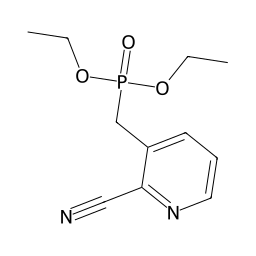 CCOP(=O)(Cc1cccnc1C#N)OCC